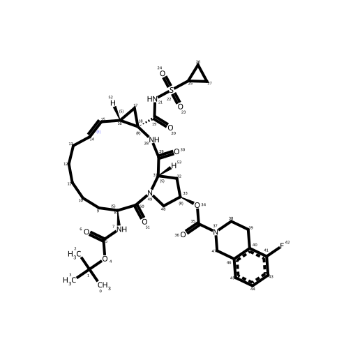 CC(C)(C)OC(=O)N[C@H]1CCCCC/C=C/[C@@H]2C[C@@]2(C(=O)NS(=O)(=O)C2CC2)NC(=O)[C@@H]2C[C@@H](OC(=O)N3CCc4c(F)cccc4C3)CN2C1=O